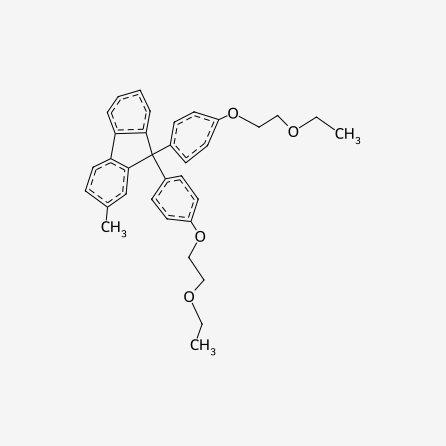 CCOCCOc1ccc(C2(c3ccc(OCCOCC)cc3)c3ccccc3-c3ccc(C)cc32)cc1